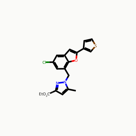 CCOC(=O)c1cc(C)n(Cc2cc(Cl)cc3cc(-c4ccsc4)oc23)n1